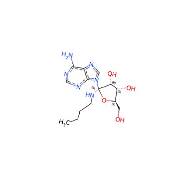 CCCCN[C@@]1(n2cnc3c(N)ncnc32)O[C@H](CO)[C@@H](O)[C@H]1O